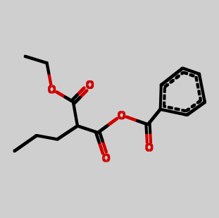 CCCC(C(=O)OCC)C(=O)OC(=O)c1ccccc1